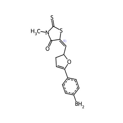 Bc1ccc(C2=CCC(/C=C3/SC(=S)N(C)C3=O)O2)cc1